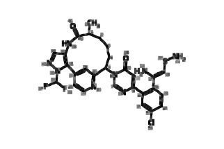 CC1CCCC(n2cnc(-c3cc(Cl)ccc3/C(N)=C/SN)cc2=O)c2cc(ccn2)-c2c(cnn2C(F)F)NC1=O